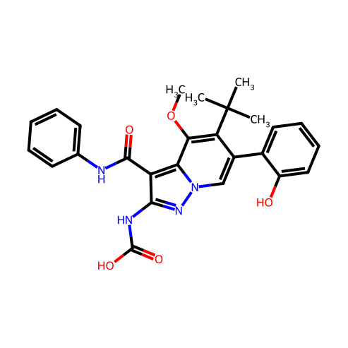 COc1c(C(C)(C)C)c(-c2ccccc2O)cn2nc(NC(=O)O)c(C(=O)Nc3ccccc3)c12